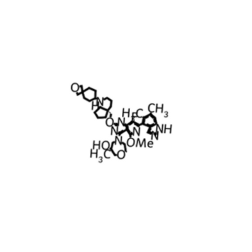 COc1nc(-c2c(C)c(C)cc3[nH]ncc23)c(F)c2nc(OC[C@]34CCC[C@H]3N(C3CCC5(CC3)COC5)CCC4)nc(N3CCOC[C@@](C)(O)C3)c12